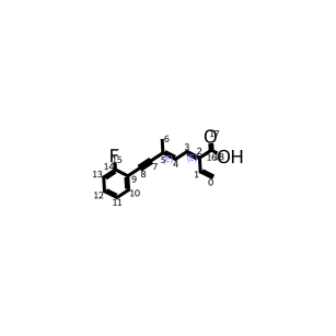 C=C/C(=C\C=C(/C)C#Cc1ccccc1F)C(=O)O